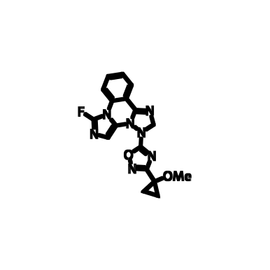 COC1(c2noc(N3CN=C4c5ccccc5-n5c(cnc5F)N43)n2)CC1